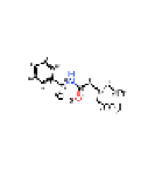 CC(C)C[C@H](CC(=O)O)CC(=O)N[C@H](C)c1ccccc1